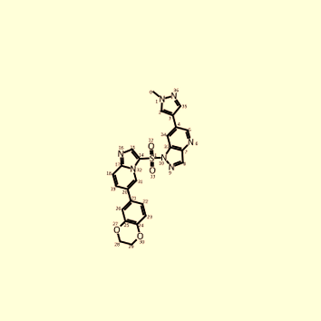 Cn1cc(-c2cnc3cnn(S(=O)(=O)c4cnc5ccc(-c6ccc7c(c6)OCCO7)cn45)c3c2)cn1